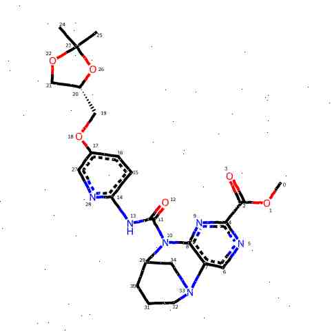 COC(=O)c1ncc2c(n1)N(C(=O)Nc1ccc(OC[C@@H]3COC(C)(C)O3)cn1)C1CCCN2C1